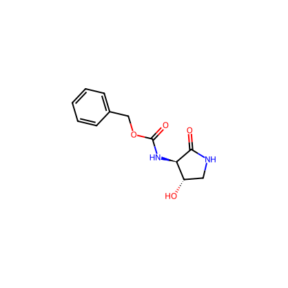 O=C(N[C@H]1C(=O)NC[C@@H]1O)OCc1ccccc1